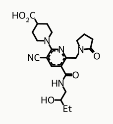 CCC(O)CNC(=O)c1cc(C#N)c(N2CCC(C(=O)O)CC2)nc1CN1CCCC1=O